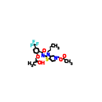 CCCCn1c(=NC(=O)c2cc(C(F)(F)F)ccc2OC[C@H](C)O)sc2cc[n+](COC(C)=O)cc21